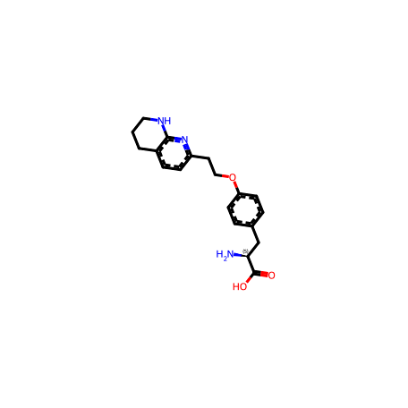 N[C@@H](Cc1ccc(OCCc2ccc3c(n2)NCCC3)cc1)C(=O)O